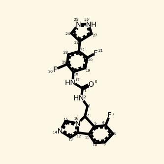 O=C(NCC1c2c(F)cccc2-c2cncn21)Nc1cc(F)c(-c2cn[nH]c2)cc1F